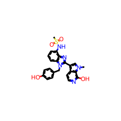 Cn1cc(-c2nc3c(NS(C)(=O)=O)cccc3n2Cc2ccc(O)cc2)c2ccnc(O)c21